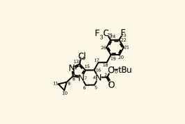 CC(C)(C)OC(=O)N1CCn2c(C3CC3)nc(Cl)c2C1CCc1ccc(F)c(C(F)(F)F)c1